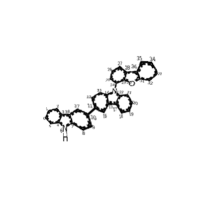 c1ccc2c(c1)[nH]c1ccc(-c3ccc4c(c3)c3ccccc3n4-c3cccc4c3oc3ccccc34)cc12